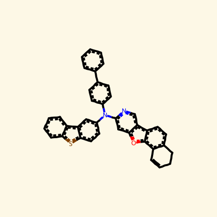 C1=Cc2c(ccc3c2oc2cc(N(c4ccc(-c5ccccc5)cc4)c4ccc5sc6ccccc6c5c4)ncc23)CC1